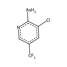 FC(F)(F)c1cnc([AsH2])c(Cl)c1